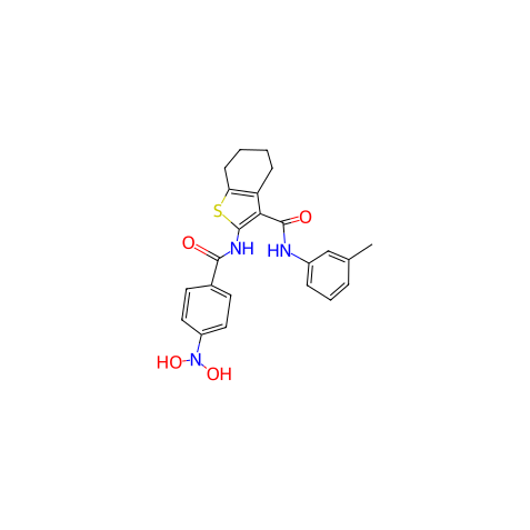 Cc1cccc(NC(=O)c2c(NC(=O)c3ccc(N(O)O)cc3)sc3c2CCCC3)c1